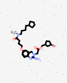 CN(CCCCC1CCCC1)C(=O)CCCOc1ccc2c(c1)CN(CC(=O)OCC1CCC(Br)C1)C(N)=N2